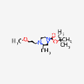 COCCCN1CCN(C(=O)OC(C)(C)C)CC1C